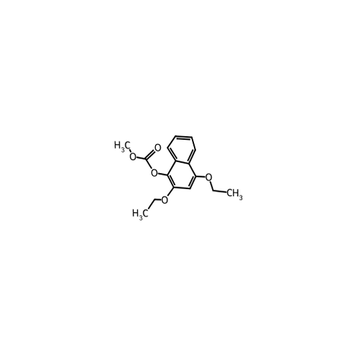 CCOc1cc(OCC)c2ccccc2c1OC(=O)OC